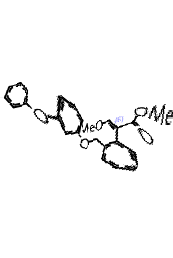 CO/C=C(/C(=O)OC)c1ccccc1COc1cccc(Oc2ccccc2)c1